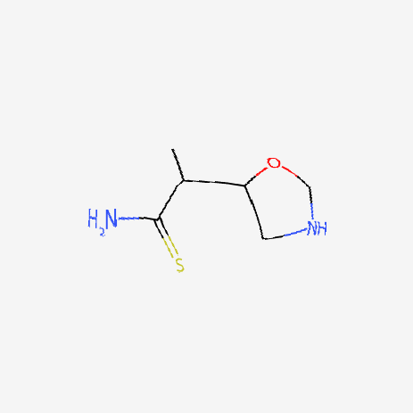 CC(C(N)=S)C1CNCO1